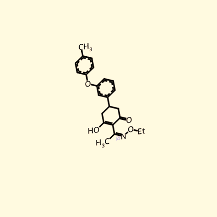 CCO/N=C(/C)C1=C(O)CC(c2cccc(Oc3ccc(C)cc3)c2)CC1=O